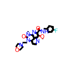 COc1c(C(=O)NCc2ccc(F)cc2)nc2c3c(ccnc13)N(CCN1CCOCC1)C(=O)N2C